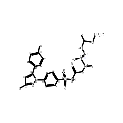 CCOC(=O)OC(C)O/N=[N+](\[O-])N(C)CC(=O)NS(=O)(=O)c1ccc(-n2nc(C)cc2-c2ccc(C)cc2)cc1